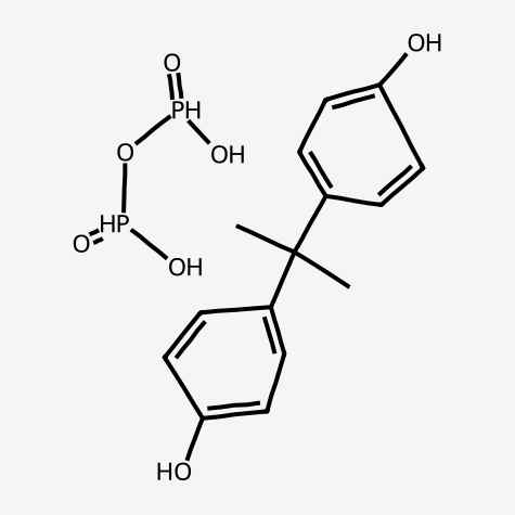 CC(C)(c1ccc(O)cc1)c1ccc(O)cc1.O=[PH](O)O[PH](=O)O